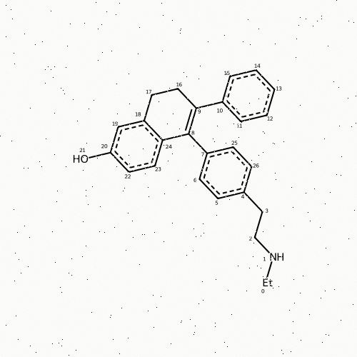 CCNCCc1ccc(C2=C(c3ccccc3)CCc3cc(O)ccc32)cc1